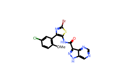 COc1ccc(Cl)cc1-c1nc(Br)sc1NC(=O)c1n[nH]c2cncnc12